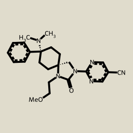 COCCN1C(=O)N(c2ncc(C#N)cn2)C[C@]12CC[C@@](c1ccccc1)(N(C)C)CC2